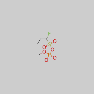 CCC(F)S(=O)(=O)OP(=O)(OC)OC